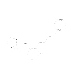 O=C(O)C1=CC=CN(CC2CC3CCC2C3)C1CCCCc1cccc(C(F)(F)F)c1